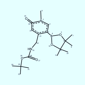 Cn1cc(B2OC(C)(C)C(C)(C)O2)c(CNC(=O)OC(C)(C)C)cc1=O